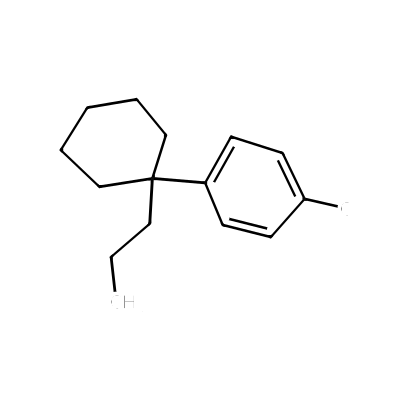 CCCC1(c2ccc(Cl)cc2)CCCCC1